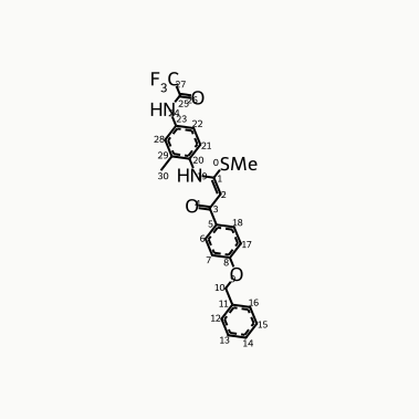 CSC(=CC(=O)c1ccc(OCc2ccccc2)cc1)Nc1ccc(NC(=O)C(F)(F)F)cc1C